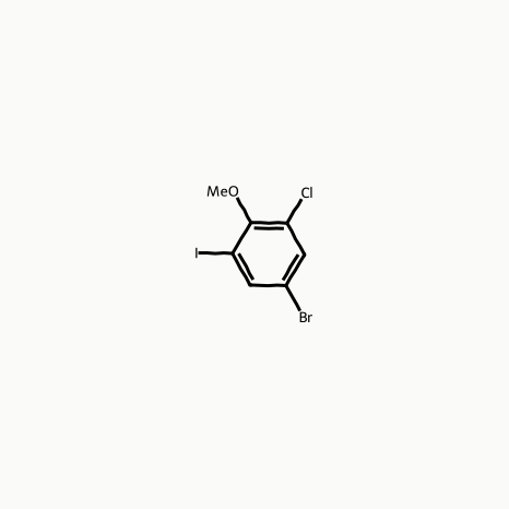 COc1c(Cl)cc(Br)cc1I